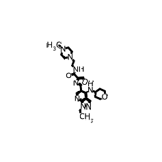 CCn1ncc2c(NC3CCOCC3)c(-c3nc(C(=O)NCCN4CCN(C)CC4)co3)cnc21